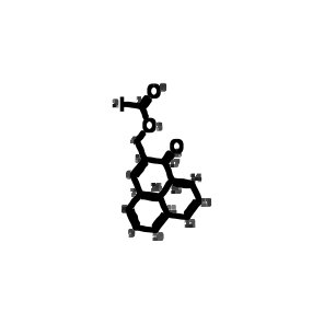 O=C(I)OCC1=Cc2cccc3cccc(c23)C1=O